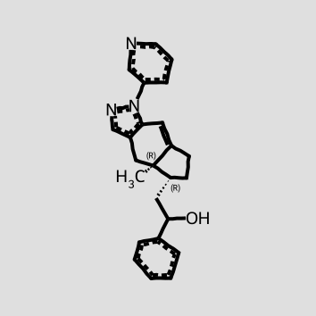 C[C@]12Cc3cnn(-c4cccnc4)c3C=C1CC[C@@H]2CC(O)c1ccccc1